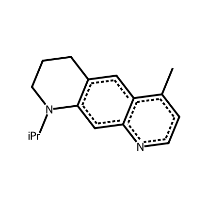 Cc1ccnc2cc3c(cc12)CCCN3C(C)C